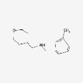 Cc1cccc(CNCC2CCOCC2)c1